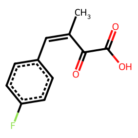 CC(=Cc1ccc(F)cc1)C(=O)C(=O)O